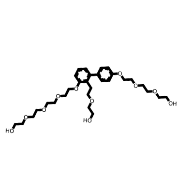 OCCOCCOCCOCCOc1cc[c]c(-c2ccc(OCCOCCOCCO)cc2)c1CCOCCO